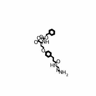 NN=CNC(=O)CCc1ccc(OCC[C@H](NC(=O)OCc2ccccc2)C(=O)O)cc1